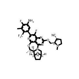 Cc1c(F)c(N)cc(-c2nc3c4c(nc(OC[C@H]5[C@H](C#N)CCN5C)nc4c2F)N2C[C@H]4CC[C@H](N4)[C@H]2[C@H](C)O3)c1C(F)(F)F